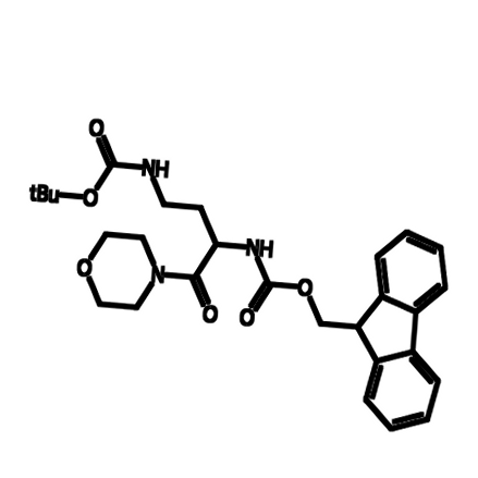 CC(C)(C)OC(=O)NCCC(NC(=O)OCC1c2ccccc2-c2ccccc21)C(=O)N1CCOCC1